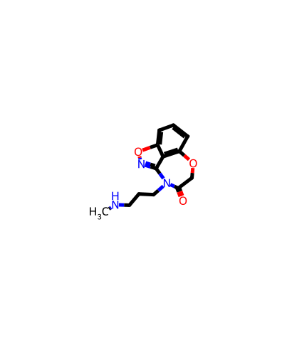 CNCCCN1C(=O)COc2cccc3onc1c23